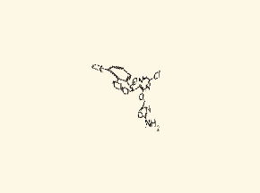 Nc1nc(COc2nc(Cl)cnc2CS(=O)(=O)c2cccc(Cl)c2Cl)co1